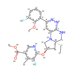 CC[C@@]12CNc3nnc(-c4cccc(F)c4OC)cc3N1C[C@H](Oc1ncc(C(=O)OC)c(C)c1F)C2